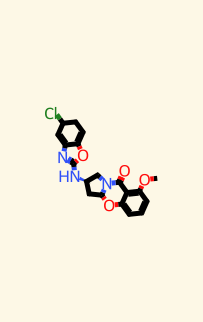 COc1cccc2c1C(=O)N1C[C@H](Nc3nc4c(o3)=CCC(Cl)C=4)CC1O2